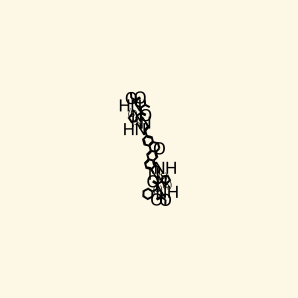 COC(=O)NC(C(=O)N1[C@@H](C)CC[C@H]1c1ncc(-c2ccc3c(c2)COc2cc4c(ccc5nc([C@@H]6CC[C@H](C)N6C(=O)[C@@H](NC(=O)OC)C6CCCCC6)[nH]c54)cc2-3)[nH]1)C(C)C